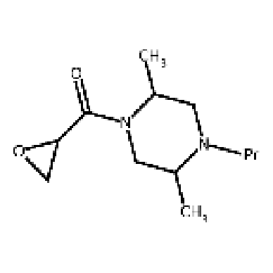 CC1CN(C(C)C)C(C)CN1C(=O)C1CO1